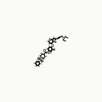 CCN(CC)CC#Cc1cc2nccc(Oc3ccc(NC(=O)C4CCN(S(=O)(=O)c5ccccc5)CC4)cc3F)c2s1